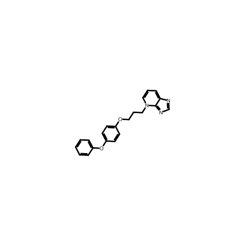 c1ccc(Oc2ccc(OCCCn3cccc4ncnc3-4)cc2)cc1